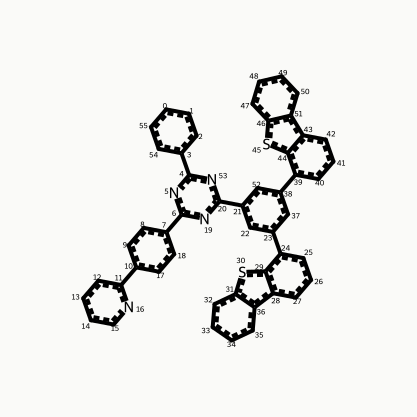 c1ccc(-c2nc(-c3ccc(-c4ccccn4)cc3)nc(-c3cc(-c4cccc5c4sc4ccccc45)cc(-c4cccc5c4sc4ccccc45)c3)n2)cc1